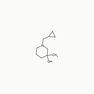 CC1(O)CCCN(CC2CC2)C1